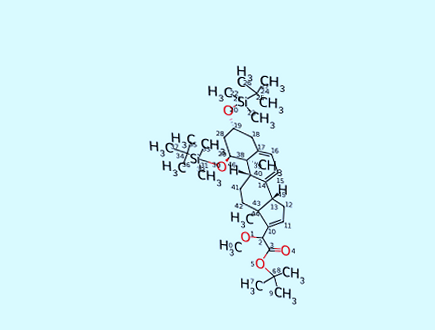 COC(C(=O)OC(C)(C)C)C1=CC[C@H]2C3=CC=C4C[C@@H](O[Si](C)(C)C(C)(C)C)C[C@H](O[Si](C)(C)C(C)(C)C)[C@]4(C)[C@H]3CC[C@]12C